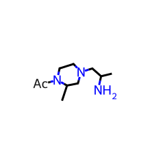 CC(=O)N1CCN(CC(C)N)CC1C